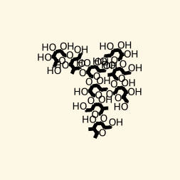 CC1OC(CO)C(OC2OC(CO)C(OC3OC(COC4OC(CO)C(O)C(O)C4OC4OC(CO)C(OC5OC(CO)C(O)C(O)C5O)C(O)C4C)C(O)C(OC4OC(CO)C(O)C(O)C4OC4OC(CO)C(OC5OC(CO)C(O)C(O)C5O)C(O)C4C)C3O)C(O)C2C)C(O)C1C